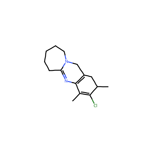 CC1=C(Cl)C(C)CC2=C1N=C1CCCCCN1C2